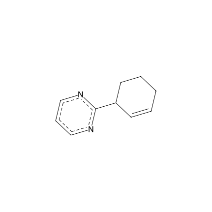 C1=CC(c2ncccn2)CCC1